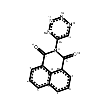 O=C1c2cccc3cccc(c23)C(=O)N1c1cnnnn1